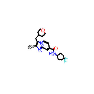 CC(C)(C)c1nc2cc(C(=O)NC3CCC(F)(F)CC3)ccn2c1CC1CCOCC1